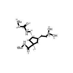 CC(C)(C)NC(=O)[C@]1(C)C[C@H](CCB(O)O)[C@@H](CNC(=O)OC(C)(C)C)C1